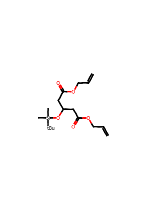 C=CCOC(=O)CC(CC(=O)OCC=C)O[Si](C)(C)C(C)(C)C